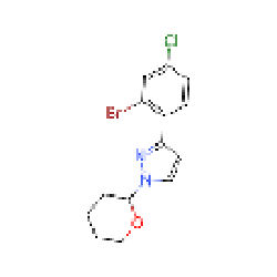 Clc1ccc(-c2ccn(C3CCCCO3)n2)c(Br)c1